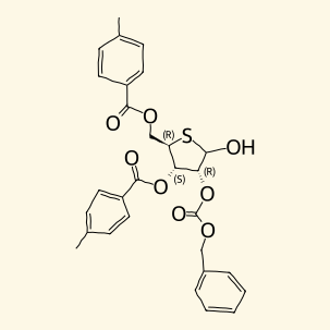 Cc1ccc(C(=O)OC[C@H]2SC(O)[C@H](OC(=O)OCc3ccccc3)[C@@H]2OC(=O)c2ccc(C)cc2)cc1